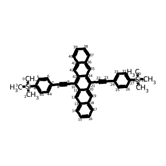 C[Si](C)(C)c1ccc(C#Cc2c3cc4ccccc4cc3c(C#Cc3ccc([Si](C)(C)C)cc3)c3cc4ccccc4cc23)cc1